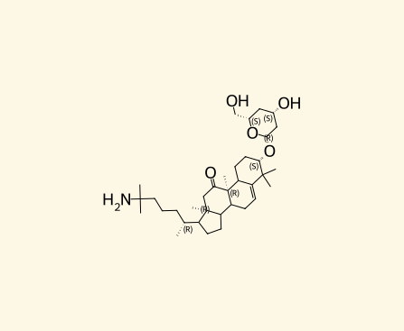 C[C@H](CCCC(C)(C)N)C1CCC2C3CC=C4C(CC[C@H](O[C@H]5C[C@@H](O)C[C@@H](CO)O5)C4(C)C)[C@]3(C)C(=O)C[C@@]21C